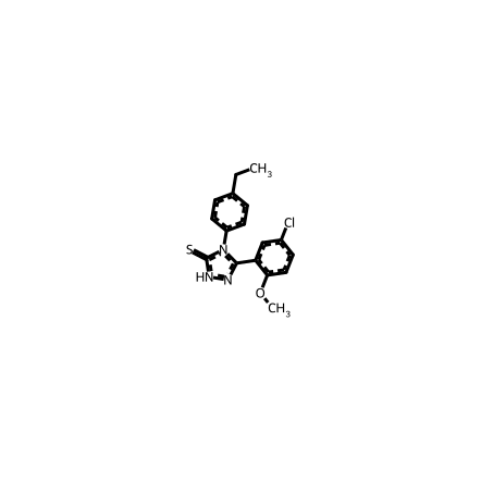 CCc1ccc(-n2c(-c3cc(Cl)ccc3OC)n[nH]c2=S)cc1